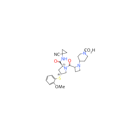 COc1ccccc1S[C@@H]1C[C@@H](C(=O)NC2(C#N)CC2)N(C(=O)C2CCN2C2CCN(C(=O)O)CC2)C1